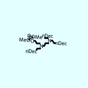 CCCCCCCCCCCCN(CCCCCCCCCCCC)CCCN(CCCCCCCCCCCC)CCCOP(=O)(OC)OC